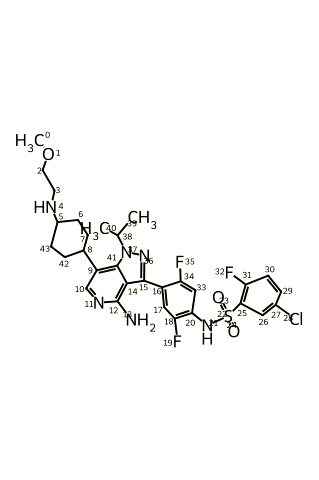 COCCNC1CCC(c2cnc(N)c3c(-c4cc(F)c(NS(=O)(=O)c5cc(Cl)ccc5F)cc4F)nn(C(C)C)c23)CC1